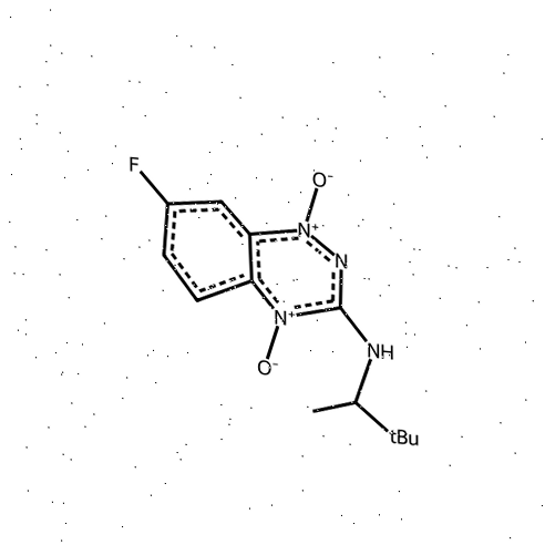 CC(Nc1n[n+]([O-])c2cc(F)ccc2[n+]1[O-])C(C)(C)C